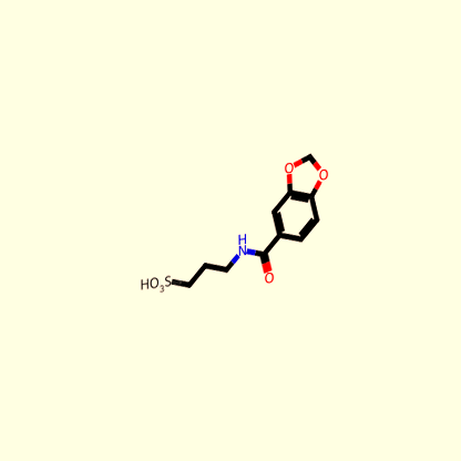 O=C(NCCCS(=O)(=O)O)c1ccc2c(c1)OCO2